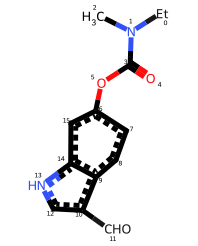 CCN(C)C(=O)Oc1ccc2c(C=O)c[nH]c2c1